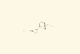 O=C1N2C[C@@H](CCC2c2nnc(C(F)(F)F)o2)N1OS(=O)(=O)O